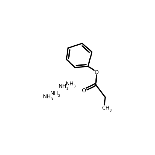 CCC(=O)Oc1ccccc1.N.N.N.N